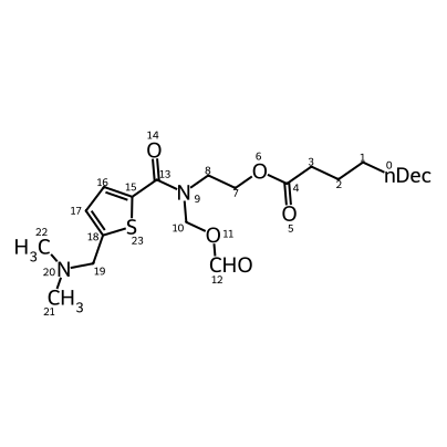 CCCCCCCCCCCCCC(=O)OCCN(COC=O)C(=O)c1ccc(CN(C)C)s1